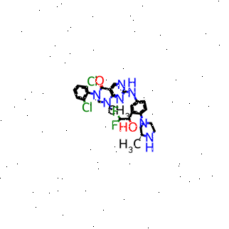 C[C@@H]1CN(c2ccc(Nc3ncc4c(n3)N(C)CN(c3c(Cl)cccc3Cl)C4=O)cc2C(O)C(F)F)CCN1